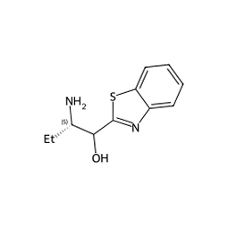 CC[C@H](N)C(O)c1nc2ccccc2s1